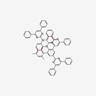 Cc1cc(C)c(-c2cc(-c3nc(-c4ccccc4)cc(-c4ccccc4)n3)cc(-c3cc(-c4ccccc4)nc(-c4ccccc4)n3)c2N2c3ccccc3N(c3nc(-c4ccccc4)cc(-c4ccccc4)n3)c3ccccc32)c(C)c1